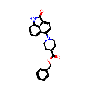 O=C1Nc2cccc3c(N4CCC(C(=O)OCc5ccccc5)CC4)ccc1c23